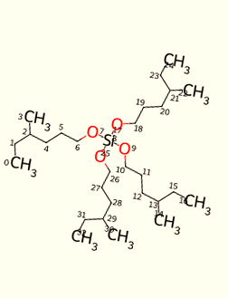 CCC(C)CCCO[Si](OCCCC(C)CC)(OCCCC(C)CC)OCCCC(C)CC